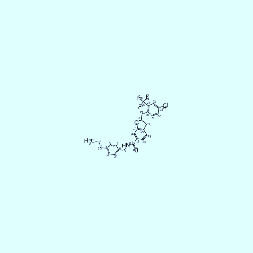 CCSc1ccc(CNC(=O)c2ccc3c(c2)OC(Cc2ccc(Cl)cc2C(F)(F)F)C3)cc1